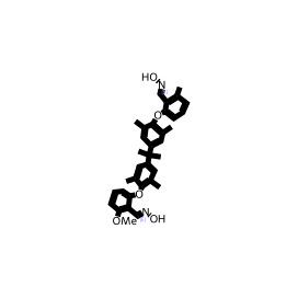 COc1cccc(Oc2c(C)cc(C(C)(C)c3cc(C)c(Oc4cccc(C)c4/C=N/O)c(C)c3)cc2C)c1/C=N/O